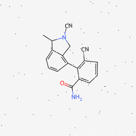 CC1c2cccc(-c3c(C#N)cccc3C(N)=O)c2CN1C#N